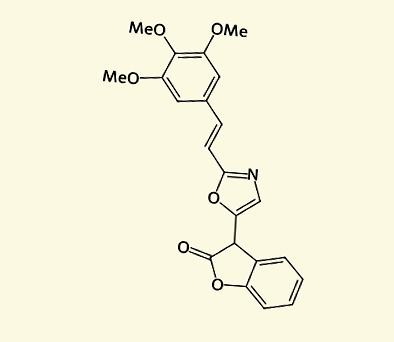 COc1cc(/C=C/c2ncc(C3C(=O)Oc4ccccc43)o2)cc(OC)c1OC